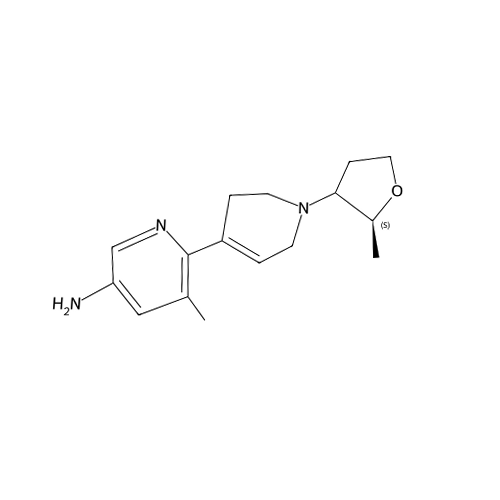 Cc1cc(N)cnc1C1=CCN(C2CCO[C@H]2C)CC1